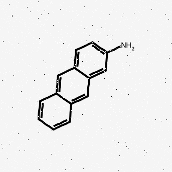 Nc1ccc2cc3[c]cccc3cc2c1